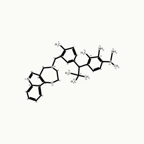 Cc1ccc(C(c2ccc(N(C)N)c(N)c2C)C(C)(C)C)cc1CN1CCOc2c(cnc3ccccc23)C1